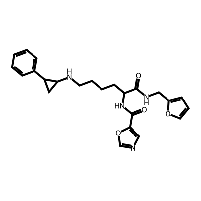 O=C(NC(CCCCNC1CC1c1ccccc1)C(=O)NCc1ccco1)c1cnco1